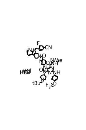 CNNC(=O)c1nc(Nc2ccc(OC(F)(F)F)cc2)nc2c1n(-c1ccc(C(=O)N3CCc4c(n(Cc5ccc(C#N)cc5F)c5ncccc45)C3)nc1)c(=O)n2C1CCN(CC(C)(C)C)CC1.Cl.Cl.Cl